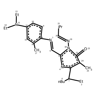 CCCCC(CC)c1nc(C=Nc2ccc(N(CC)CC)cc2C)n(/N=C/C(C)C)c(=O)c1C